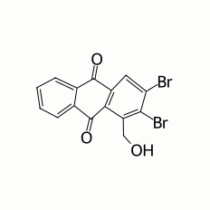 O=C1c2ccccc2C(=O)c2c1cc(Br)c(Br)c2CO